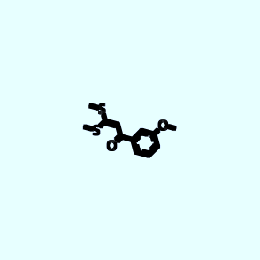 COc1cccc(C(=O)C=C(SC)SC)c1